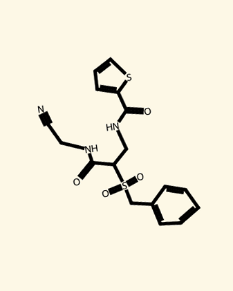 N#CCNC(=O)C(CNC(=O)c1cccs1)S(=O)(=O)Cc1ccccc1